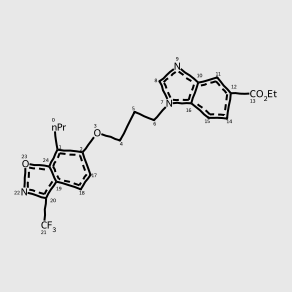 CCCc1c(OCCCn2cnc3cc(C(=O)OCC)ccc32)ccc2c(C(F)(F)F)noc12